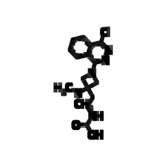 CN(C)C1(CCNC(=O)O)CN(c2nnc(Cl)c3ccccc23)C1